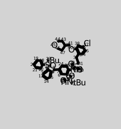 CC(C)(C)NS(=O)(=O)c1cc(CO[Si](c2ccccc2)(c2ccccc2)C(C)(C)C)ccc1NS(=O)(=O)CCc1ccc(Cl)cc1OCC1CCOCC1